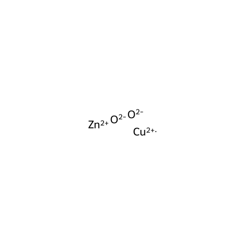 [Cu+2].[O-2].[O-2].[Zn+2]